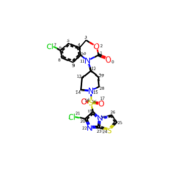 O=C1OCc2cc(Cl)ccc2N1C1CCN(S(=O)(=O)c2c(Cl)nc3sccn23)CC1